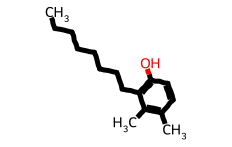 CCCCCCCCc1c(O)ccc(C)c1C